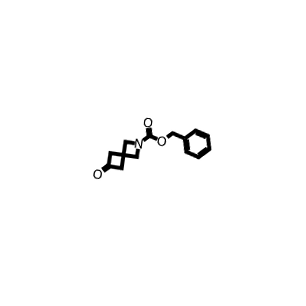 O=C1CC2(C1)CN(C(=O)OCc1ccccc1)C2